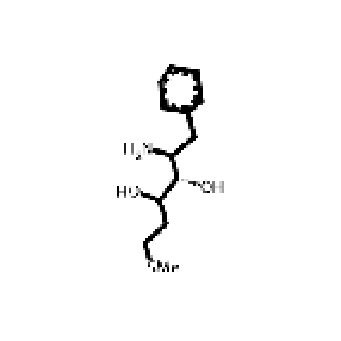 CSCCC(O)[C@@H](O)C(N)Cc1ccccc1